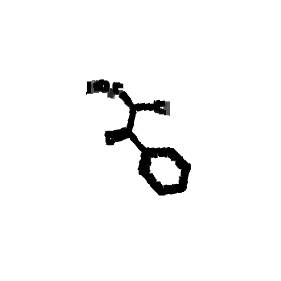 CCOC(=O)[C@@H](Cl)C(=O)c1ccccc1